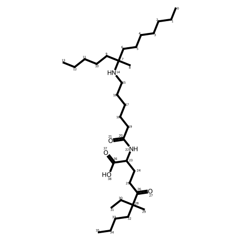 CCCCCCCC(C)(CCCCC)NCCCCCC(=O)NC(CCC(=O)C(C)(CC)CCCC)C(=O)O